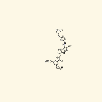 CC(C)c1nn2nc(C(C)CNC(=O)c3cc(S(=O)(=O)O)cc(S(=O)(=O)O)c3)[nH]c2c1/N=N/c1nc(SCCS(=O)(=O)O)ns1